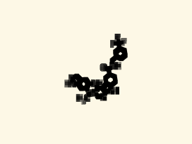 COc1cc2[nH]ncc2cc1Nc1ncnc2[nH]c3c(c12)CC(C(=O)NCc1cccc(C(F)(F)F)c1)CC3